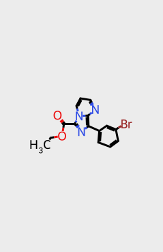 CCOC(=O)c1nc(-c2cccc(Br)c2)c2ncccn12